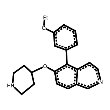 CCOc1cccc(-c2c(OC3CCNCC3)ccc3cnccc23)c1